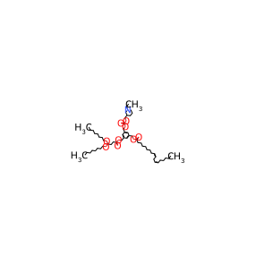 CCCCC/C=C\C/C=C\CCCCCCCC(=O)OCc1cc(COC(=O)CCC(OCCCCCCCC)OCCCCCCCC)cc(COC(=O)OCC2CCCN(CC)C2)c1